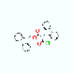 O=C(Cl)C(C(=O)OCC1c2ccccc2-c2ccccc21)C1c2ccccc2-c2ccccc21